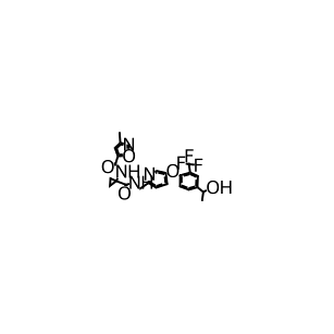 Cc1cc(C(=O)NC2(C(=O)NCc3ccc(Oc4ccc(C(C)O)cc4C(F)(F)F)cn3)CC2)on1